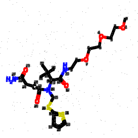 COCCOCCOCCNC(=O)[C@@H](N(CSc1cccs1)C(=O)CCC(N)=O)C(C)(C)C